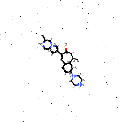 Cc1cn2cc(C3=Cc4ccc(N5CCNCC5)cc4C(C)CC3=O)cc2cn1